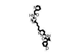 COc1cccc(C2(C(=O)Nc3ccc(CCCCc4nnc(NC(=O)Cc5ccccn5)s4)nn3)CC2)c1